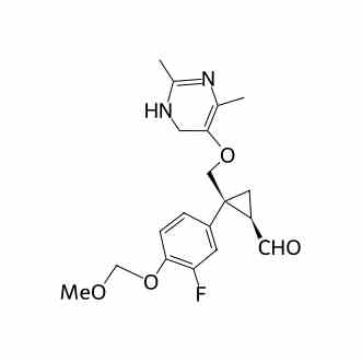 COCOc1ccc([C@]2(COC3=C(C)N=C(C)NC3)C[C@H]2C=O)cc1F